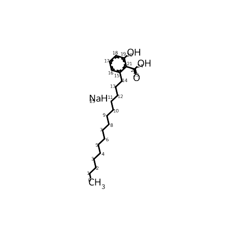 CCCCCCCCCCCCCCCc1cccc(O)c1C(=O)O.[NaH]